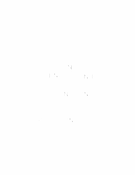 Nc1ncc(C2=CC(=O)CC=N2)nc1-c1nc2ccccc2[nH]1